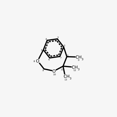 CC1c2ccc(cc2)OCOC1(C)C